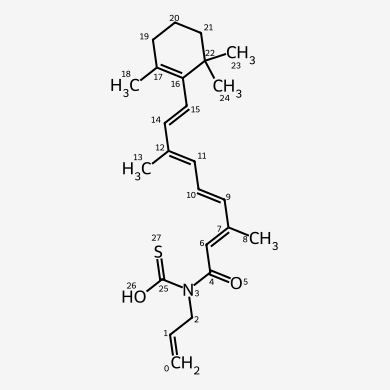 C=CCN(C(=O)C=C(C)C=CC=C(C)C=CC1=C(C)CCCC1(C)C)C(O)=S